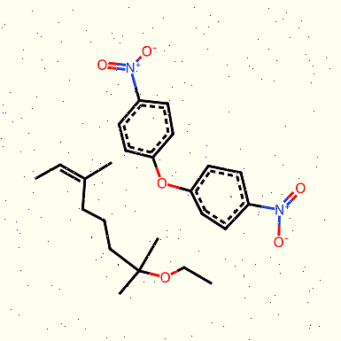 CC=C(C)CCCC(C)(C)OCC.O=[N+]([O-])c1ccc(Oc2ccc([N+](=O)[O-])cc2)cc1